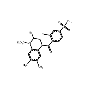 CCOC(=O)N1c2cc(C)c(C)cc2N(C(=O)c2ccc(S(C)(=O)=O)cc2Cl)CC1CC